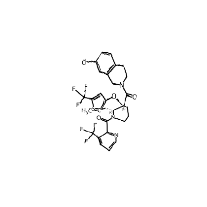 CCC[C@H]1N(C(=O)c2ncccc2C(F)(F)F)CCC[C@@]1(Oc1csc(C(F)(F)F)c1)C(=O)N1CCc2ccc(Cl)cc2C1